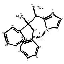 CCCCCCCC(c1nccn1CCCCCCC)C(C)(Cc1ccccc1)c1ccccc1